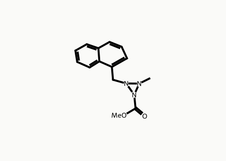 COC(=O)n1n(C)n1Cc1cccc2ccccc12